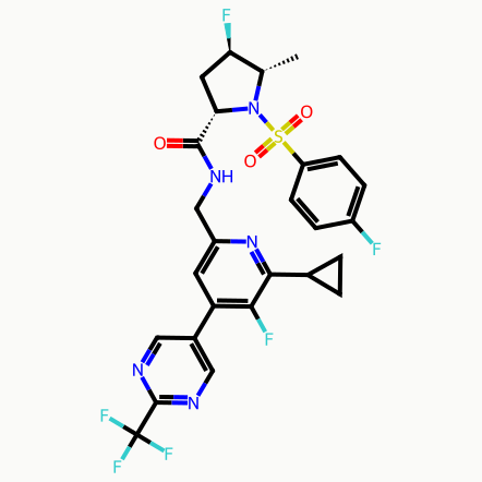 C[C@H]1[C@H](F)C[C@@H](C(=O)NCc2cc(-c3cnc(C(F)(F)F)nc3)c(F)c(C3CC3)n2)N1S(=O)(=O)c1ccc(F)cc1